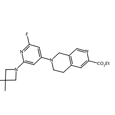 CCOC(=O)c1cc2c(cn1)CN(c1cc(F)nc(N3CC(C)(C)C3)c1)CC2